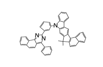 CC1(C)c2cc3c(cc2-c2c1ccc1ccccc21)c1ccccc1n3-c1cccc(-c2nc(-c3ccccc3)c3ccc4ccccc4c3n2)c1